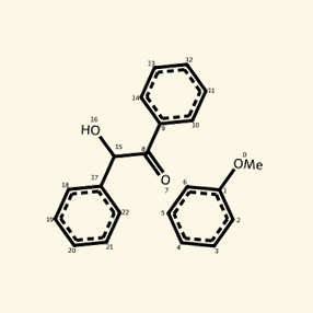 COc1ccccc1.O=C(c1ccccc1)C(O)c1ccccc1